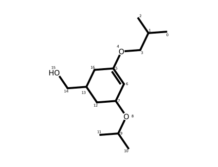 CC(C)COC1=CC(OC(C)C)CC(CO)C1